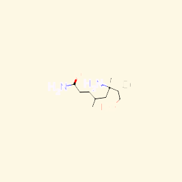 CC[C@H](CO)[C@@](C)(N)C[C](C)CCC(N)=O